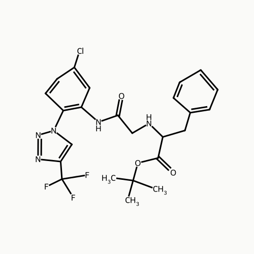 CC(C)(C)OC(=O)C(Cc1ccccc1)NCC(=O)Nc1cc(Cl)ccc1-n1cc(C(F)(F)F)nn1